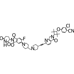 CC1(C)[C@H](Oc2ccc(C#N)c(Cl)c2)C(C)(C)[C@H]1N1Cc2nc(C#CC3CCN(CC4CCN(c5cc6c(cc5F)C(=O)N(C5CCC(=O)NC5=O)C6=O)CC4)CC3)ccc2C1=O